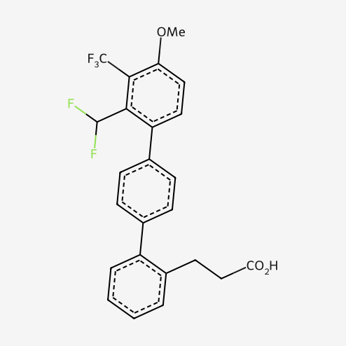 COc1ccc(-c2ccc(-c3ccccc3CCC(=O)O)cc2)c(C(F)F)c1C(F)(F)F